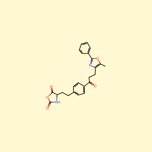 Cc1oc(-c2ccccc2)nc1CCC(=O)c1ccc(CCC2NC(=O)OC2=O)cc1